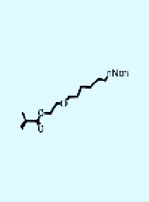 C=C(C)C(=O)OCCOCCCCCCCCCCCCCCC